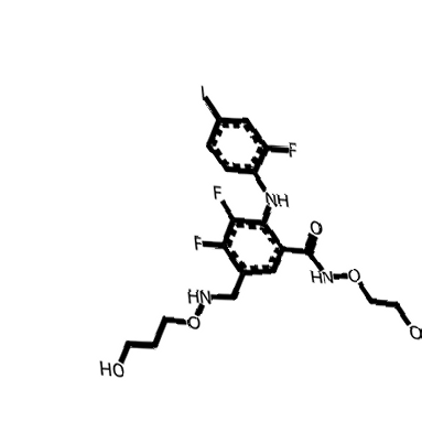 O=C(NOCCO)c1cc(CNOCCCO)c(F)c(F)c1Nc1ccc(I)cc1F